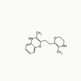 CC1=C(CCC2=C(C)Nc3ccccc3O2)OCCN1